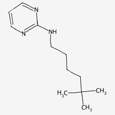 CC(C)(C)CCCCNc1ncccn1